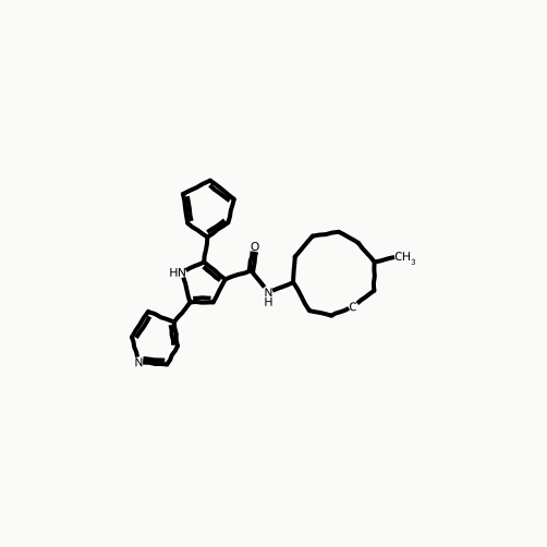 CC1CCCCC(NC(=O)c2cc(-c3ccncc3)[nH]c2-c2ccccc2)CCCC1